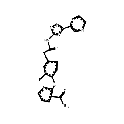 NC(=O)c1cccnc1Oc1ccc(CC(=O)Nc2nnc(-c3cnccn3)s2)cc1F